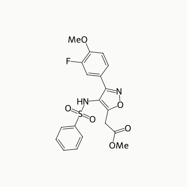 COC(=O)Cc1onc(-c2ccc(OC)c(F)c2)c1NS(=O)(=O)c1ccccc1